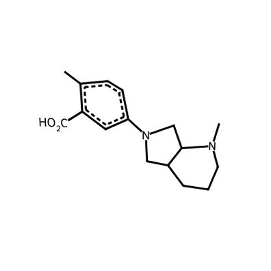 Cc1ccc(N2CC3CCCN(C)C3C2)cc1C(=O)O